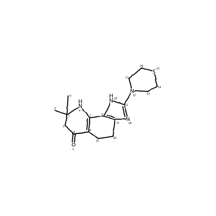 CC1(C)CC(=O)C2=C(N1)c1[nH]c(N3CCSCC3)nc1CC2